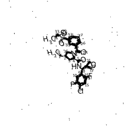 C=C[C@@H]1C[C@H](C(=O)N[C@@H](c2cc(F)c(Cl)cc2F)C2COC2)N(C(=O)c2cccc(S(=O)(=O)CC)c2)C1